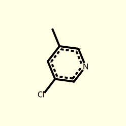 Cc1[c]ncc(Cl)c1